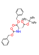 CCCC(CCC)(CCC)OC(=O)C[C@H](NC(=O)OCc1ccccc1)C(=O)OCc1ccccc1